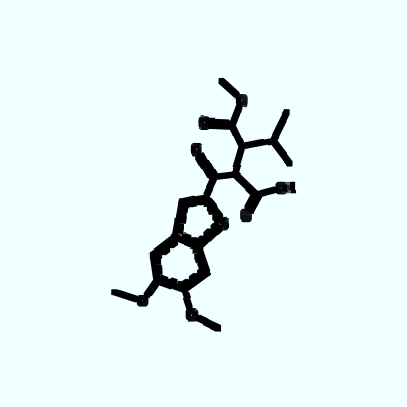 COC(=O)C(C(C)C)C(C(=O)O)C(=O)c1cc2cc(OC)c(OC)cc2s1